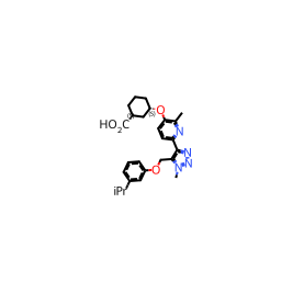 Cc1nc(-c2nnn(C)c2COc2cccc(C(C)C)c2)ccc1O[C@H]1CCC[C@H](C(=O)O)C1